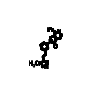 CC(C)c1nccc2c1CN(c1cccc(CCc3nncn3C)c1)C2=O